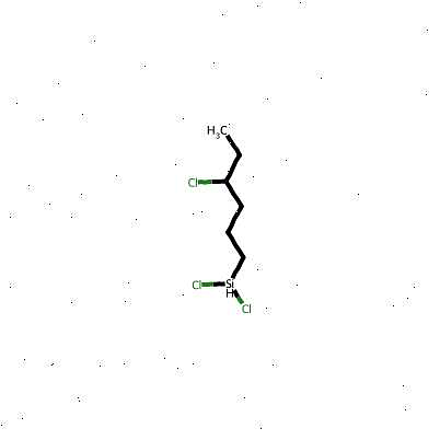 CCC(Cl)CCC[SiH](Cl)Cl